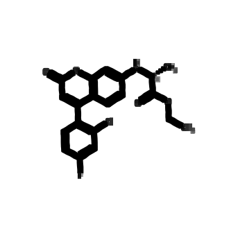 CCOC(=O)[C@@H](C)Nc1ccc2c(-c3ccc(F)cc3Cl)cc(=O)oc2c1